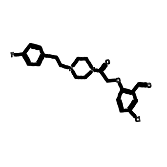 O=Cc1cc(Cl)ccc1OCC(=O)N1CCN(CCc2ccc(F)cc2)CC1